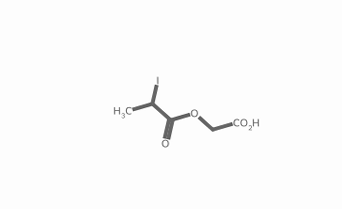 CC(I)C(=O)OCC(=O)O